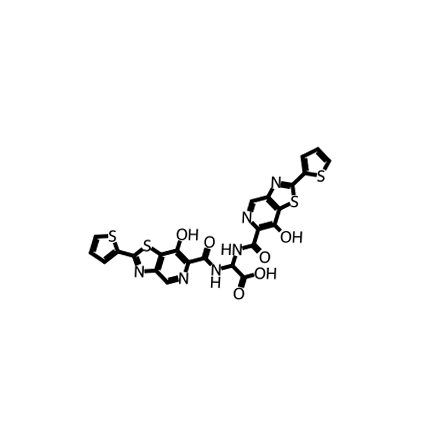 O=C(NC(NC(=O)c1ncc2nc(-c3cccs3)sc2c1O)C(=O)O)c1ncc2nc(-c3cccs3)sc2c1O